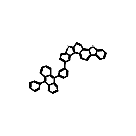 c1ccc(-c2c3ccccc3c(-c3cccc(-c4ccc5sc6ccc7c(ccc8c9ccccc9sc87)c6c5c4)c3)c3ccccc23)cc1